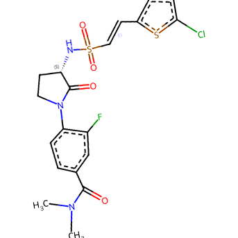 CN(C)C(=O)c1ccc(N2CC[C@H](NS(=O)(=O)/C=C/c3ccc(Cl)s3)C2=O)c(F)c1